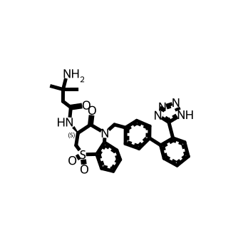 CC(C)(N)CC(=O)N[C@@H]1CS(=O)(=O)c2ccccc2N(Cc2ccc(-c3ccccc3-c3nnn[nH]3)cc2)C1=O